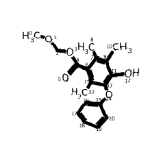 COCOC(=O)c1c(C)c(C)c(O)c(Oc2ccccc2)c1C